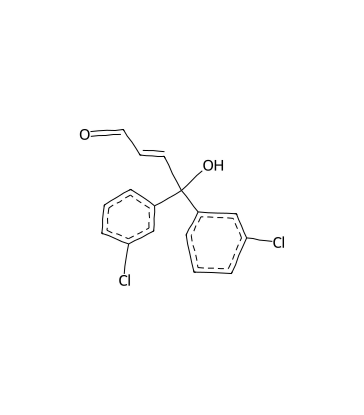 O=C/C=C/C(O)(c1cccc(Cl)c1)c1cccc(Cl)c1